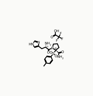 Cc1ccc(S(=O)(=O)[C@@]2(C(N)=O)CCCN2C(=O)[C@@H](N)Cc2c[nH]cn2)cc1.O=C(O)C(F)(F)F